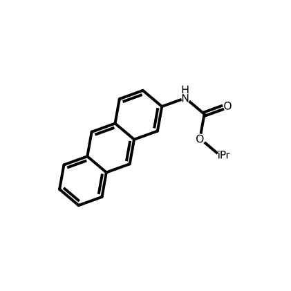 CC(C)OC(=O)Nc1ccc2cc3ccccc3cc2c1